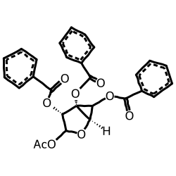 CC(=O)OC1O[C@@H]2C(OC(=O)c3ccccc3)[C@]2(OC(=O)c2ccccc2)[C@H]1OC(=O)c1ccccc1